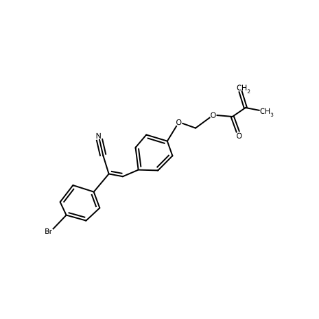 C=C(C)C(=O)OCOc1ccc(/C=C(\C#N)c2ccc(Br)cc2)cc1